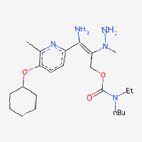 CCCCN(CC)C(=O)OC/C(=C(/N)c1ccc(OC2CCCCC2)c(C)n1)N(C)N